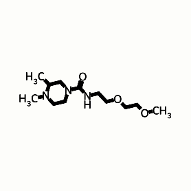 COCCOCCNC(=O)N1CCN(C)C(C)C1